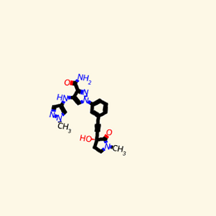 CN1CC[C@@](O)(C#Cc2cccc(-n3cc(Nc4cnn(C)c4)c(C(N)=O)n3)c2)C1=O